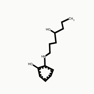 CCCC(O)CCCNc1ccccc1O